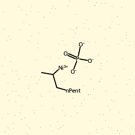 CCCCCC[CH](C)[Ni+3].O=P([O-])([O-])[O-]